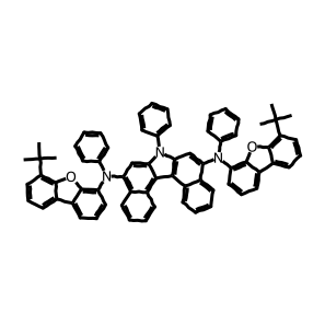 CC(C)(C)c1cccc2c1oc1c(N(c3ccccc3)c3cc4c(c5ccccc35)c3c5ccccc5c(N(c5ccccc5)c5cccc6c5oc5c(C(C)(C)C)cccc56)cc3n4-c3ccccc3)cccc12